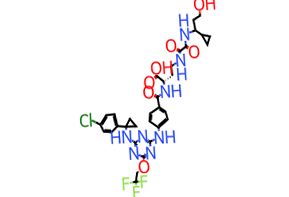 O=C(NCC[C@H](NC(=O)c1ccc(Nc2nc(NC3(c4ccc(Cl)cc4)CC3)nc(OCC(F)(F)F)n2)cc1)C(=O)O)C(=O)NC(CCO)C1CC1